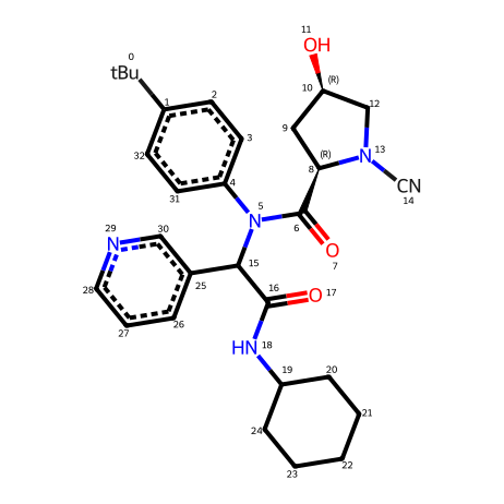 CC(C)(C)c1ccc(N(C(=O)[C@H]2C[C@@H](O)CN2C#N)C(C(=O)NC2CCCCC2)c2cccnc2)cc1